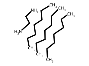 CCCCCCC.CCCCCCC.CCCCCCC.NCCN